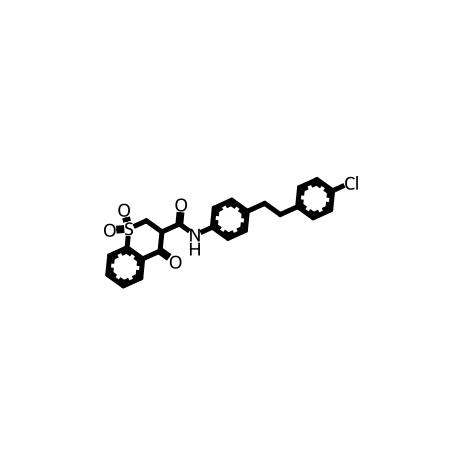 O=C(Nc1ccc(CCc2ccc(Cl)cc2)cc1)C1CS(=O)(=O)c2ccccc2C1=O